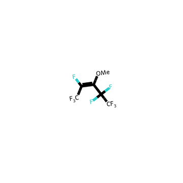 COC(=C(F)C(F)(F)F)C(F)(F)C(F)(F)F